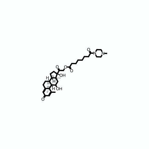 CC1=CC(=O)C=C2CC[C@@H]3[C@H](C(O)C[C@@]4(C)[C@H]3CC[C@]4(O)C(=O)COC(=O)CCCCCCC(=O)N3CCN(C)CC3)[C@@]12C